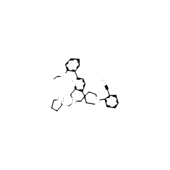 CCOc1ccccc1-c1ccc2c(n1)CN(C[C@H]1CCCN1)CC21CCN(c2ccccc2C#N)CC1